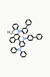 Cc1ccccc1N1c2cc(-c3ccccc3)ccc2B2c3c1cc1ccccc1c3-c1cc(N(c3ccccc3)c3ccccc3)ccc1N2c1ccc(-c2ccccc2)cc1